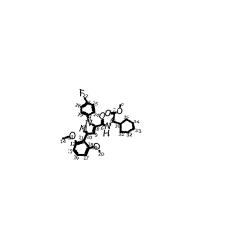 COC(=O)[C@@H](NC(=O)c1cc(-c2c(OC)cccc2OC)nn1-c1ccc(F)cc1)C1CCCCC1